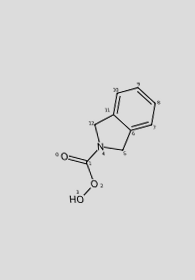 O=C(OO)N1Cc2ccccc2C1